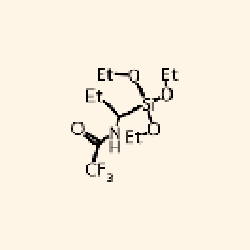 CCO[Si](OCC)(OCC)C(CC)NC(=O)C(F)(F)F